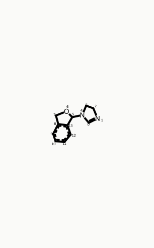 C1=NCCN1C1OCc2ccccc21